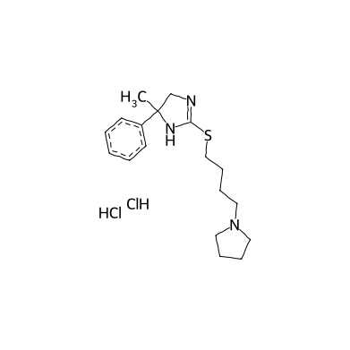 CC1(c2ccccc2)CN=C(SCCCCN2CCCC2)N1.Cl.Cl